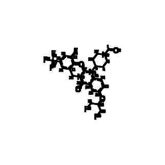 O=CN1CCC(n2c(=O)n(Cc3cc(F)cc(C(F)(F)F)c3)c(=O)c3cc(OC(CF)CF)ccc32)CC1